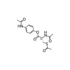 CC(=O)Nc1ccc(OC(=O)[C@@H](CSC(C)=O)NC(C)=O)cc1